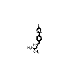 CC(N)CNCc1ccc(-c2ncc(F)cn2)cc1